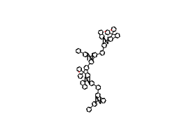 c1ccc(-c2ccc(-n3c4ccccc4c4cc(-c5cccc(-c6ccc(N(c7ccc8c(c7)C(c7ccccc7)(c7ccccc7)c7ccc(-c9ccc%10c%11cc(-c%12cccc(-c%13ccc(N(c%14ccc%15c(c%14)C(c%14ccccc%14)(c%14ccccc%14)c%14ccccc%14-%15)c%14ccc%15ccccc%15c%14)cc%13)c%12)ccc%11n(-c%11ccc(-c%12ccccc%12)cc%11)c%10c9)cc7-8)c7cccc8ccccc78)cc6)c5)ccc43)cc2)cc1